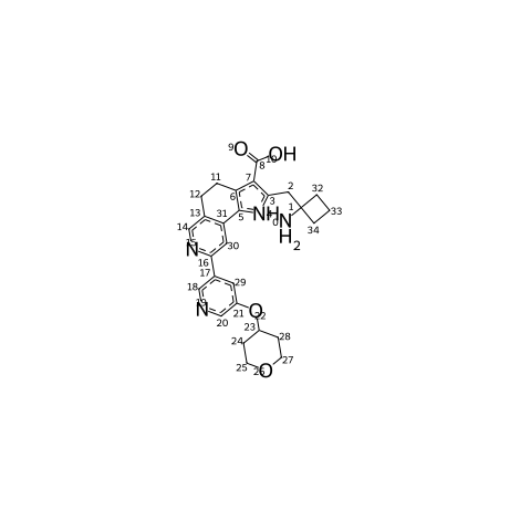 NC1(Cc2[nH]c3c(c2C(=O)O)CCc2cnc(-c4cncc(OC5CCOCC5)c4)cc2-3)CCC1